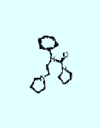 O=C(N1CCCC1)N(CCN1CCCC1)c1ccccc1